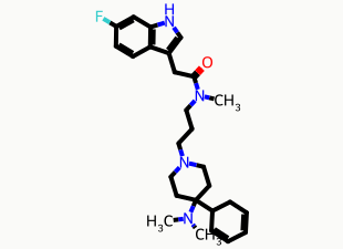 CN(CCCN1CCC(C2C=CC=CC2)(N(C)C)CC1)C(=O)Cc1c[nH]c2cc(F)ccc12